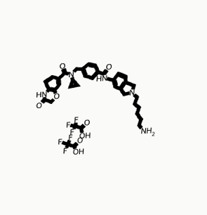 NCCCCCCN1Cc2ccc(NC(=O)c3ccc(CN(C(=O)c4ccc5c(c4)OCC(=O)N5)C4CC4)cc3)cc2C1.O=C(O)C(F)(F)F.O=C(O)C(F)(F)F